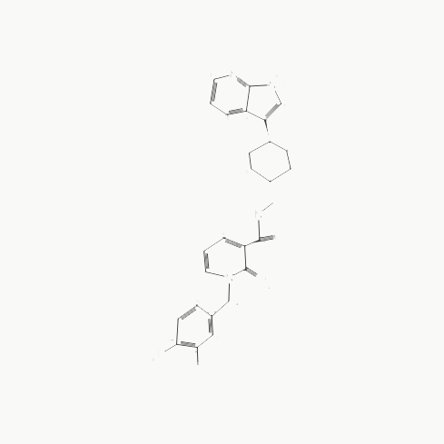 O=C(NC[C@H]1CC[C@H](c2c[nH]c3ncccc32)CC1)c1cccn(Cc2ccc(F)c(F)c2)c1=O